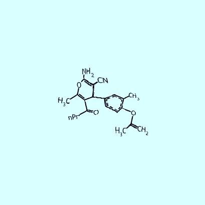 C=C(C)Oc1ccc(C2C(C#N)=C(N)OC(C)=C2C(=O)CCC)cc1C